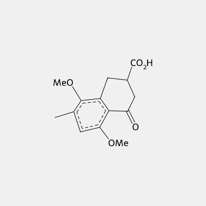 COc1cc(C)c(OC)c2c1C(=O)CC(C(=O)O)C2